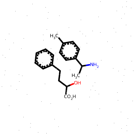 Cc1ccc(C(C)N)cc1.O=C(O)C(O)CCc1ccccc1